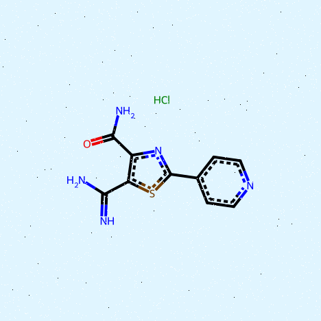 Cl.N=C(N)c1sc(-c2ccncc2)nc1C(N)=O